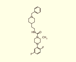 C[C@@H]1CN(c2cc(F)ccc2F)CCN1C(=O)NCCC1CCN(Cc2ccccc2)CC1